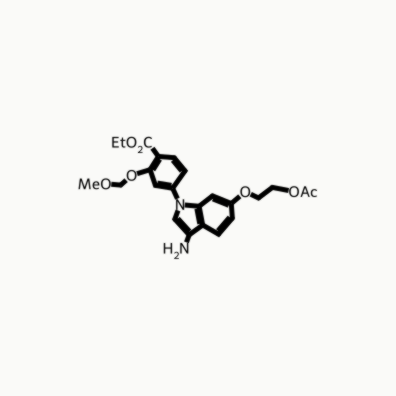 CCOC(=O)c1ccc(-n2cc(N)c3ccc(OCCOC(C)=O)cc32)cc1OCOC